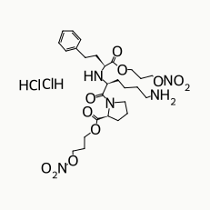 Cl.Cl.NCCCC[C@H](N[C@@H](CCc1ccccc1)C(=O)OCCCO[N+](=O)[O-])C(=O)N1CCC[C@H]1C(=O)OCCCO[N+](=O)[O-]